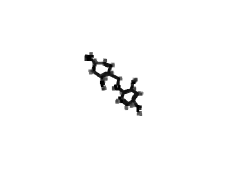 N#Cc1ccc(COc2n[c]c(F)cc2F)c(F)c1